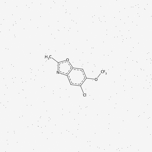 Cc1nc2cc(Cl)c(OC(F)(F)F)cc2o1